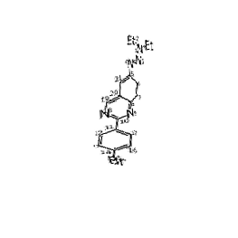 CCN(CC)N=Nc1ccc2nc(-c3ccc(Br)cc3)ncc2c1